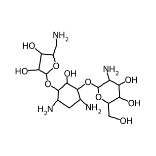 NCC1OC(OC2C(N)CC(N)C(OC3OC(CO)C(O)C(O)C3N)C2O)C(O)C1O